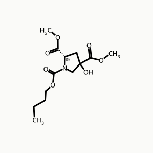 CCCCOC(=O)N1CC(O)(C(=O)OC)C[C@H]1C(=O)OC